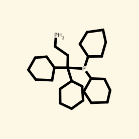 PCCC(C1CCCCC1)(C1CCCCC1)P(C1CCCCC1)C1CCCCC1